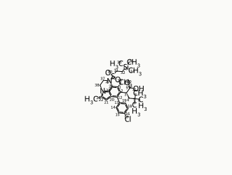 Cc1c([C@H](CC(C)(C)C)C(=O)O)c(-c2ccc(Cl)cc2)c2cc(C)n3c2c1N(S(=O)(=O)CC[Si](C)(C)C)CC3